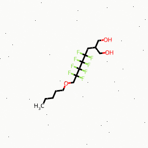 CCCCCOCC(F)(F)C(F)(F)C(F)(F)C(F)(F)CC(CO)CO